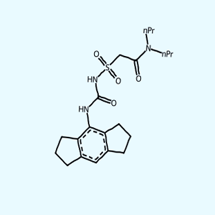 CCCN(CCC)C(=O)CS(=O)(=O)NC(=O)Nc1c2c(cc3c1CCC3)CCC2